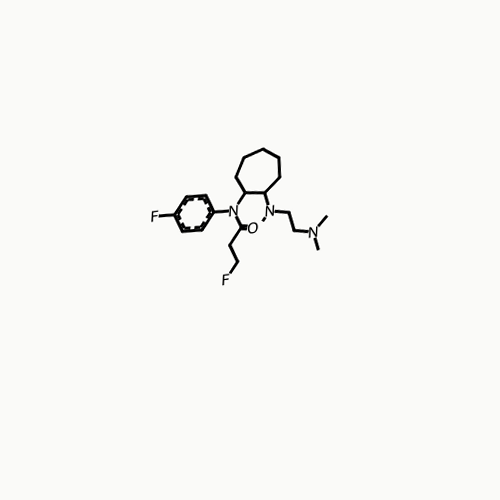 CN(C)CCN(C)C1CCCCCC1N(C(=O)CCF)c1ccc(F)cc1